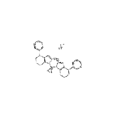 CCC1=CC2=C(CCCC2c2ccccc2)[CH]1[Zr+2]1([CH]2C(CC)=CC3=C2CCCC3c2ccccc2)[CH2][CH2]1.[Cl-].[Cl-]